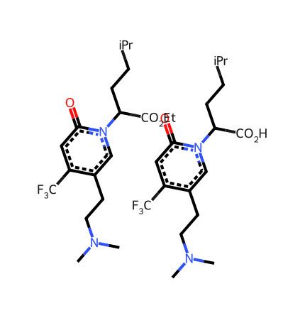 CC(C)CCC(C(=O)O)n1cc(CCN(C)C)c(C(F)(F)F)cc1=O.CCOC(=O)C(CCC(C)C)n1cc(CCN(C)C)c(C(F)(F)F)cc1=O